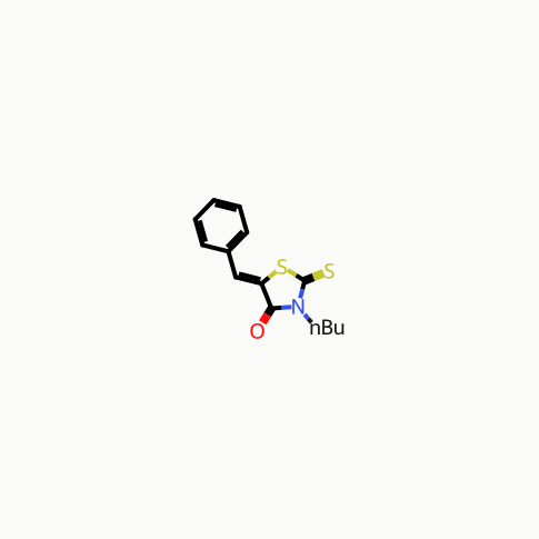 CCCCN1C(=O)/C(=C/c2ccccc2)SC1=S